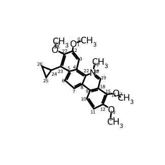 COc1cc2c(ccc3c4ccc(OC)c(OC)c4c[n+](C)c23)c(C2CC2)c1OC